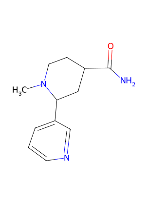 CN1CCC(C(N)=O)CC1c1cccnc1